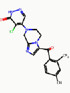 N#Cc1ccc(C(=O)c2cnc3n2CCN(c2cn[nH]c(=O)c2Cl)C3)c(C(F)(F)F)c1